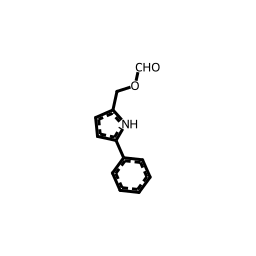 O=COCc1ccc(-c2ccccc2)[nH]1